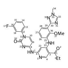 CCC(=O)c1cnc(Nc2ccn(-c3cccc(F)c3)c(=O)n2)cc1Nc1cccc(-c2ncn(C)n2)c1OC